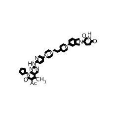 CC(=O)c1c(C)c2cnc(Nc3ccc(N4CCN(CCC5CCN(c6ccc7c(c6)CN(C6CCC(=O)NC6=O)C7)CC5)CC4)cn3)nc2n(C2CCCC2)c1=O